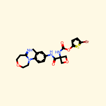 Cc1cc(NC(=O)C2(NC(=O)Oc3ccc(Br)s3)COC2)ccc1N1CCOCCC1=N